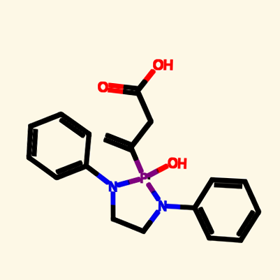 C=C(CC(=O)O)[P]1(O)N(c2ccccc2)CCN1c1ccccc1